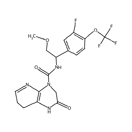 COCC(NC(=O)N1CC(=O)NC2=C1N=CCC2)c1ccc(OC(F)(F)F)c(F)c1